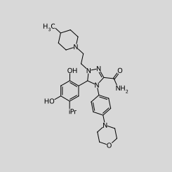 CC1CCN(CCN2N=C(C(N)=O)N(c3ccc(N4CCOCC4)cc3)C2c2cc(C(C)C)c(O)cc2O)CC1